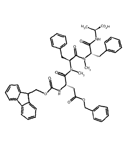 C[C@H](NC(=O)[C@H](Cc1ccccc1)N(C)C(=O)[C@H](Cc1ccccc1)N(C)C(=O)[C@H](CC(=O)OCc1ccccc1)NC(=O)OCC1c2ccccc2-c2ccccc21)C(=O)O